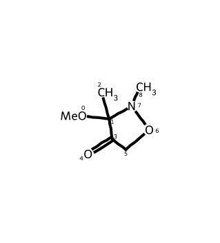 COC1(C)C(=O)CON1C